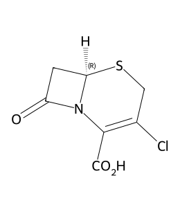 O=C(O)C1=C(Cl)CS[C@@H]2CC(=O)N12